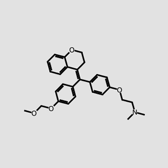 COCOc1ccc(C(=C2CCOc3ccccc32)c2ccc(OCCN(C)C)cc2)cc1